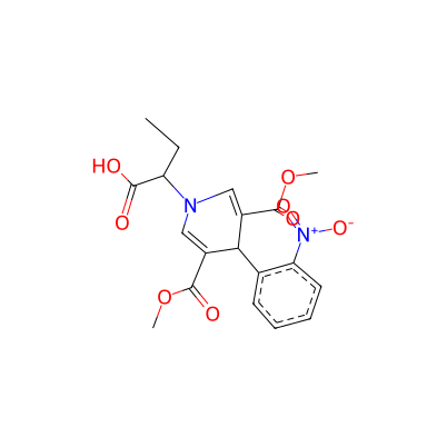 CCC(C(=O)O)N1C=C(C(=O)OC)C(c2ccccc2[N+](=O)[O-])C(C(=O)OC)=C1